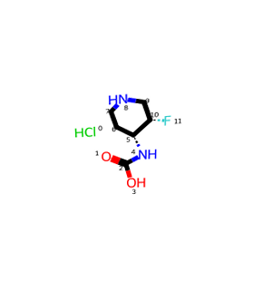 Cl.O=C(O)N[C@@H]1CCNC[C@@H]1F